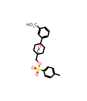 Cc1ccc(S(=O)(=O)OCC23CCC(c4cccc(C(=O)O)c4)(CC2)OC3)cc1